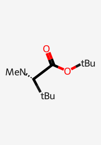 CN[C@H](C(=O)OC(C)(C)C)C(C)(C)C